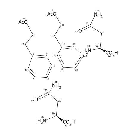 CC(=O)OCCc1ccccc1.CC(=O)OCCc1ccccc1.NC(=O)C[C@H](N)C(=O)O.NC(=O)C[C@H](N)C(=O)O